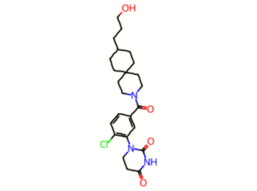 O=C1CCN(c2cc(C(=O)N3CCC4(CCC(CCCO)CC4)CC3)ccc2Cl)C(=O)N1